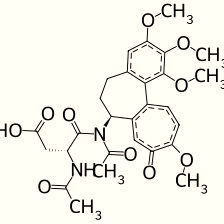 COc1cc2c(c(OC)c1OC)-c1ccc(OC)c(=O)cc1[C@@H](N(C(C)=O)C(=O)[C@@H](CC(=O)O)NC(C)=O)CC2